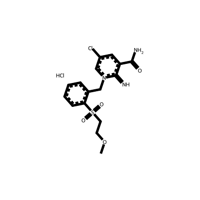 COCCS(=O)(=O)c1ccccc1Cn1cc(Cl)cc(C(N)=O)c1=N.Cl